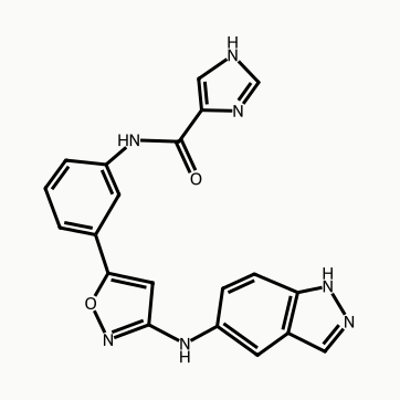 O=C(Nc1cccc(-c2cc(Nc3ccc4[nH]ncc4c3)no2)c1)c1c[nH]cn1